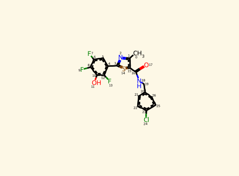 Cc1nc(-c2cc(F)c(F)c(O)c2F)sc1C(=O)NCc1ccc(Cl)cc1